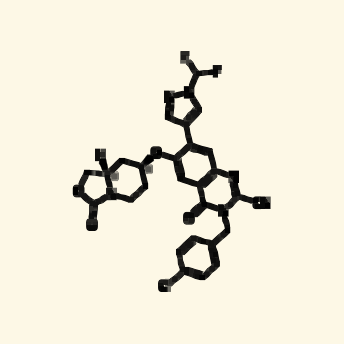 N#Cc1nc2cc(-c3cnn(C(F)F)c3)c(O[C@H]3CCN4C(=O)OC[C@@H]4C3)cc2c(=O)n1Cc1ccc(Cl)cc1